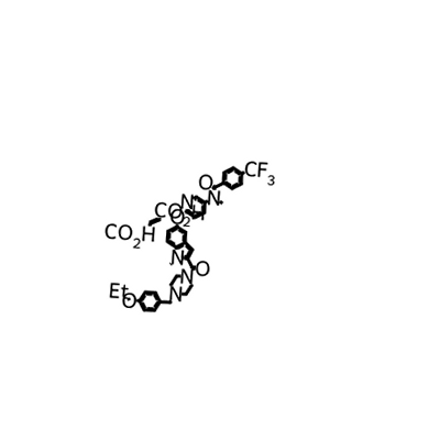 CCOc1ccc(CN2CCN(C(=O)c3cc4cc(Oc5ccc(N(C)C(=O)c6ccc(C(F)(F)F)cc6)cn5)ccc4n3C)CC2)cc1.O=C(O)C=CC(=O)O